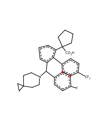 O=C(O)C1(c2cccc(C(c3ccc(F)cc3)N3CCC4(CC3)CC4)c2-c2ccc(C(F)(F)F)cc2)CCCC1